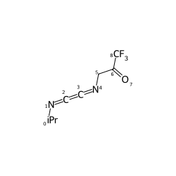 CC(C)N=C=C=NCC(=O)C(F)(F)F